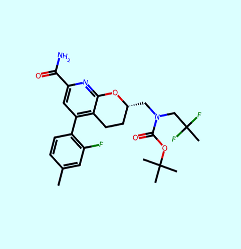 Cc1ccc(-c2cc(C(N)=O)nc3c2CC[C@@H](CN(CC(C)(F)F)C(=O)OC(C)(C)C)O3)c(F)c1